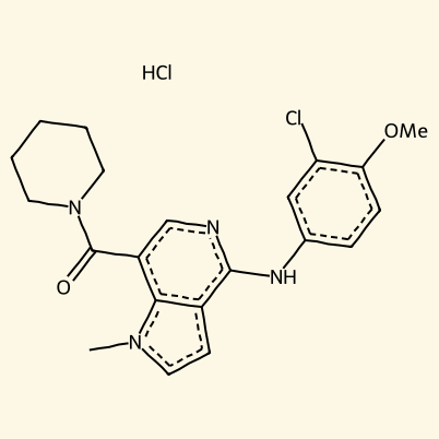 COc1ccc(Nc2ncc(C(=O)N3CCCCC3)c3c2ccn3C)cc1Cl.Cl